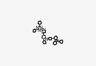 C1=CC2c3ccccc3N(c3ccc(-c4cccc5c4c4ccccc4n5-c4ccccc4)cc3)C2C=C1c1ccnc(-c2nc(-c3ccccc3)nc(-c3ccccc3)n2)c1